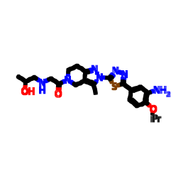 Cc1c2c(nn1-c1nnc(-c3ccc(OC(C)C)c(N)c3)s1)CCN(C(=O)CNCC(C)O)C2